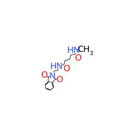 CNC(=O)CCCC(=O)NCCN1C(=O)c2ccccc2C1=O